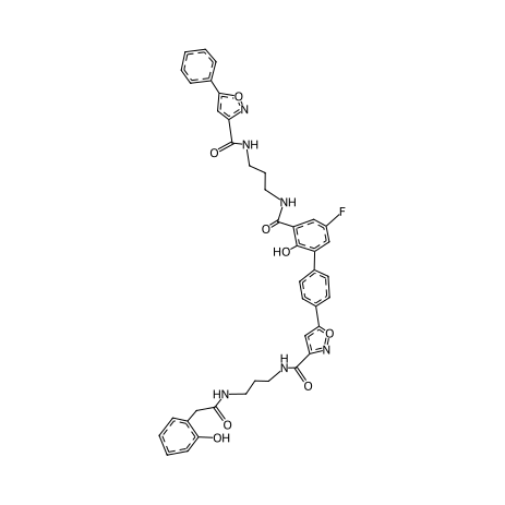 O=C(Cc1ccccc1O)NCCCNC(=O)c1cc(-c2ccc(-c3cc(F)cc(C(=O)NCCCNC(=O)c4cc(-c5ccccc5)on4)c3O)cc2)on1